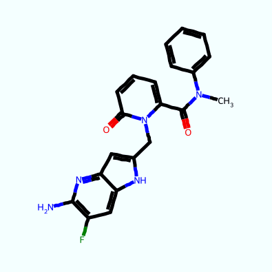 CN(C(=O)c1cccc(=O)n1Cc1cc2nc(N)c(F)cc2[nH]1)c1ccccc1